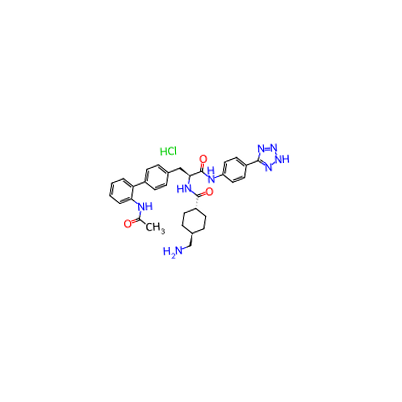 CC(=O)Nc1ccccc1-c1ccc(C[C@H](NC(=O)[C@H]2CC[C@H](CN)CC2)C(=O)Nc2ccc(-c3nn[nH]n3)cc2)cc1.Cl